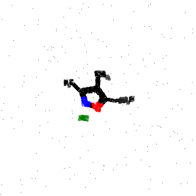 Cc1noc(S(=O)(=O)O)c1C.Cl